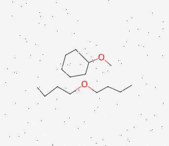 CCCCOCCCC.COC1CCCCC1